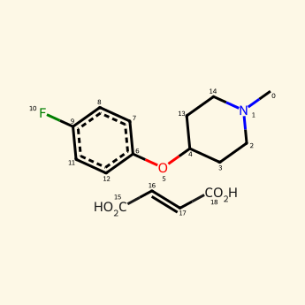 CN1CCC(Oc2ccc(F)cc2)CC1.O=C(O)C=CC(=O)O